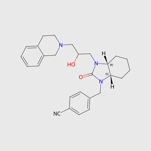 N#Cc1ccc(CN2C(=O)N(CC(O)CN3CCc4ccccc4C3)[C@@H]3CCCC[C@@H]32)cc1